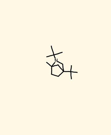 CC(C)(C)N1CC2(C(C)(C)C)CCC1(C)C2